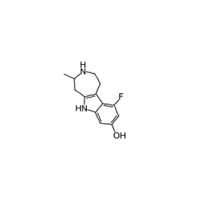 CC1Cc2[nH]c3cc(O)cc(F)c3c2CCN1